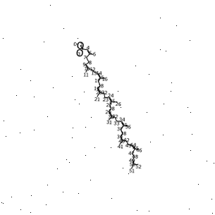 COC(=O)C=C(C)CCC=C(C)CCC=C(C)CCC=C(C)CCC=C(C)CCC=C(C)CCC=C(C)CCC=C(C)CCC=C(C)CCC=C(C)C